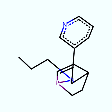 CCCN1C(c2cccnc2)C2C=CP1CC2